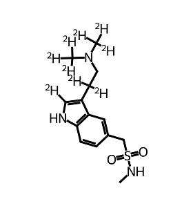 [2H]c1[nH]c2ccc(CS(=O)(=O)NC)cc2c1C([2H])([2H])CN(C([2H])([2H])[2H])C([2H])([2H])[2H]